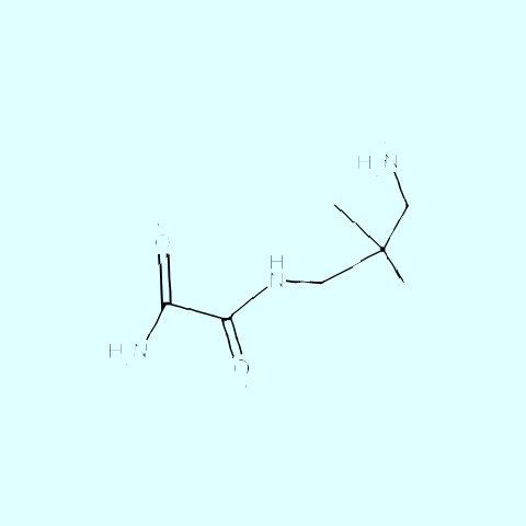 CC(C)(CN)CNC(=O)C(N)=O